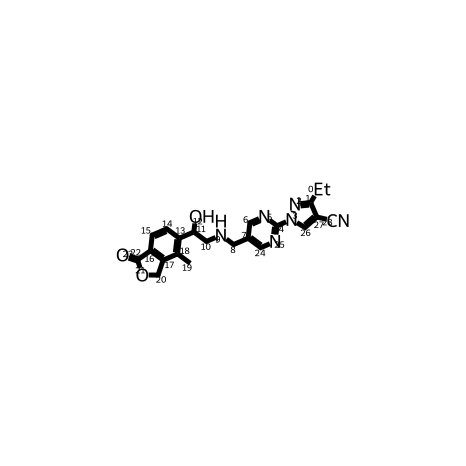 CCc1nn(-c2ncc(CNCC(O)c3ccc4c(c3C)COC4=O)cn2)cc1C#N